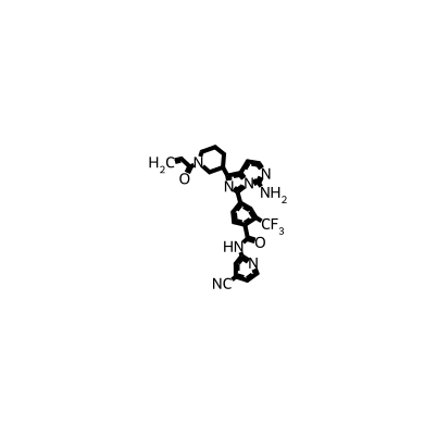 C=CC(=O)N1CCCC(c2nc(-c3ccc(C(=O)Nc4cc(C#N)ccn4)c(C(F)(F)F)c3)n3c(N)nccc23)C1